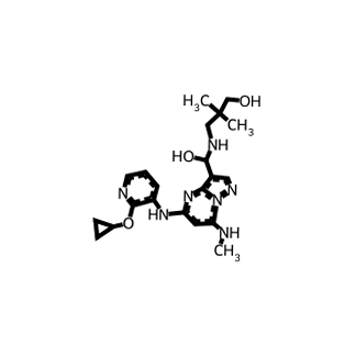 CNc1cc(Nc2cccnc2OC2CC2)nc2c(C(O)NCC(C)(C)CO)cnn12